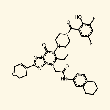 CCc1c(N2CCN(C(=O)c3cc(F)cc(F)c3O)CC2)c(=O)n2nc(C3=CCOCC3)nc2n1CC(=O)Nc1ccc2c(c1)CCCC2